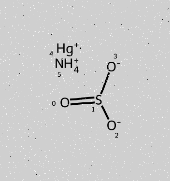 O=S([O-])[O-].[Hg+].[NH4+]